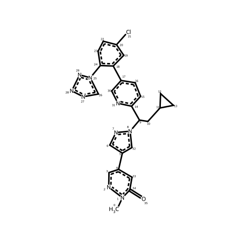 Cn1ncc(-c2cnn(C(CC3CC3)c3ccc(-c4cc(Cl)ccc4-n4cnnn4)cn3)c2)cc1=O